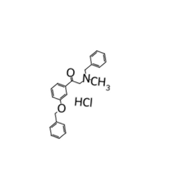 CN(CC(=O)c1cccc(OCc2ccccc2)c1)Cc1ccccc1.Cl